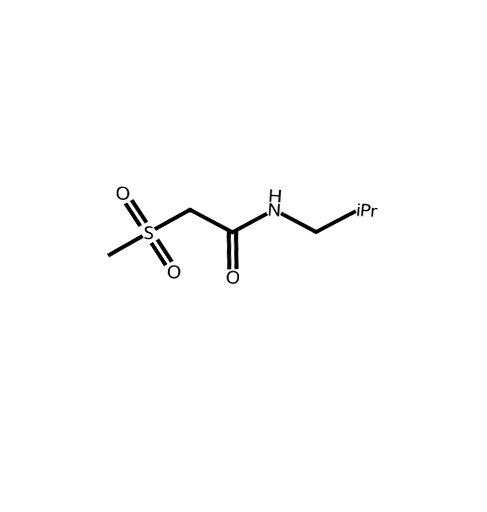 CC(C)CNC(=O)CS(C)(=O)=O